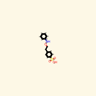 O=S(=O)(O)c1ccc(CCONc2ccccc2)cc1